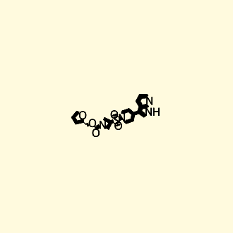 O=C(OC[C@@H]1CCCO1)N1CC(S(=O)(=O)N2CCC(c3c[nH]c4ncccc34)CC2)C1